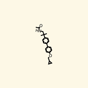 CC(=O)NCC(C)(C)c1ccc(-c2ccc(OCC3CC3)cc2)cc1